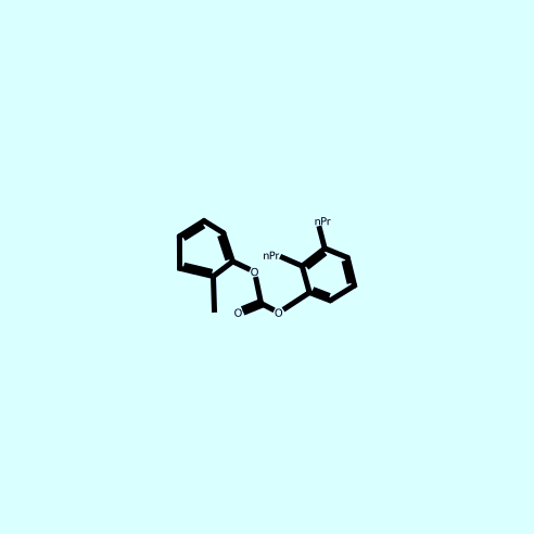 CCCc1cccc(OC(=O)Oc2ccccc2C)c1CCC